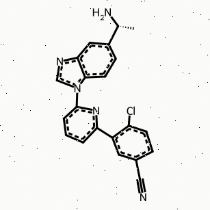 C[C@@H](N)c1ccc2c(c1)ncn2-c1cccc(-c2cc(C#N)ccc2Cl)n1